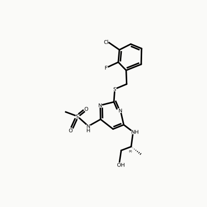 C[C@H](CO)Nc1cc(NS(C)(=O)=O)nc(SCc2cccc(Cl)c2F)n1